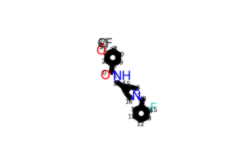 O=C(NCC1C2CN(Cc3ccccc3F)CC12)c1cccc(OC(F)(F)F)c1